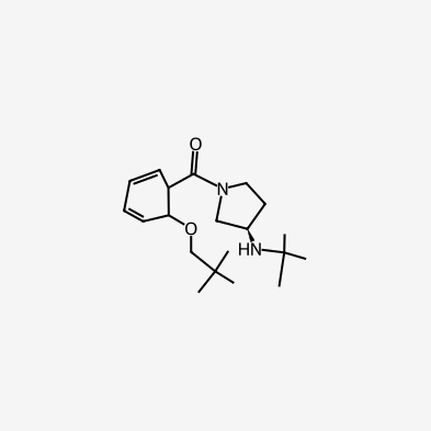 CC(C)(C)COC1C=CC=CC1C(=O)N1CC[C@@H](NC(C)(C)C)C1